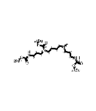 CN(CCCCN(CCCNC(=O)OC(C)(C)C)C(=O)OC(C)(C)C)CCCNC(=O)OC(C)(C)C